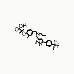 CCCN(Cc1ccc(OC(C)(C)C(=O)O)c(C)c1)Cc1cc(-c2ccc(C(F)(F)F)cc2)nn1C